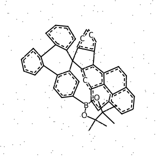 CC1(C)OB(c2ccc3c(c2)C2(c4ccccc4-c4ccccc4-3)c3ccccc3-c3c2cc2ccc4cccc5ccc3c2c45)OC1(C)C